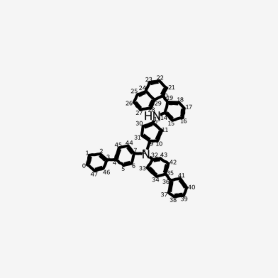 c1ccc(-c2ccc(N(c3ccc(Nc4ccccc4-c4cccc5ccccc45)cc3)c3ccc(-c4ccccc4)cc3)cc2)cc1